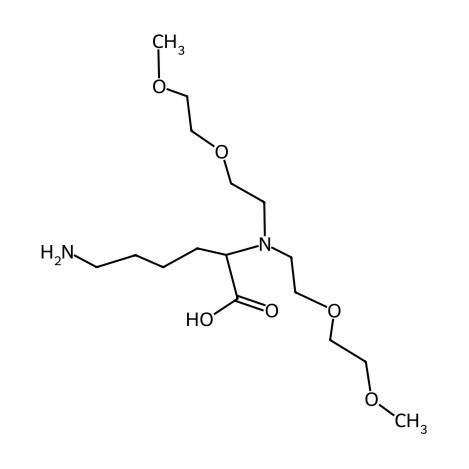 COCCOCCN(CCOCCOC)C(CCCCN)C(=O)O